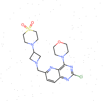 O=S1(=O)CCN(C2CN(Cc3ccc4nc(Cl)nc(N5CCOCC5)c4n3)C2)CC1